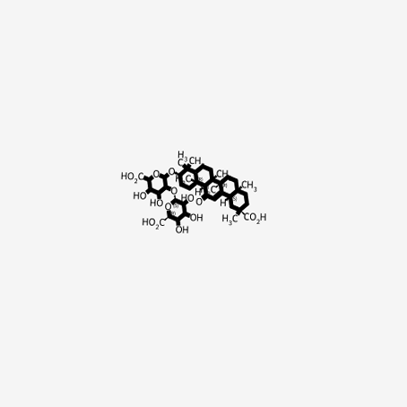 CC1(C)C2CC[C@@]3(C)[C@@H](C(=O)C=C4[C@H]5C[C@@](C)(C(=O)O)CC[C@@]5(C)CC[C@@]43C)[C@]2(C)CC[C@H]1OC1OC(C(=O)O)C(O)C(O)C1O[C@H]1O[C@@H](C(=O)O)C(O)C(O)C1O